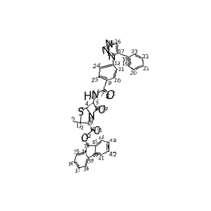 CC1(C)SC2C(NC(=O)c3ccc(-n4nncc4-c4ccccc4)cc3)C(=O)N2C1C(=O)OC1c2ccccc2-c2ccccc21